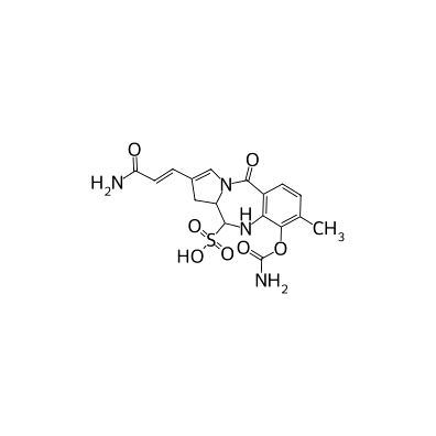 Cc1ccc2c(c1OC(N)=O)NC(S(=O)(=O)O)C1CC(/C=C/C(N)=O)=CN1C2=O